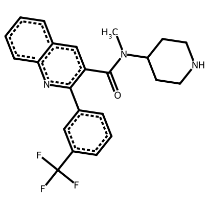 CN(C(=O)c1cc2ccccc2nc1-c1cccc(C(F)(F)F)c1)C1CCNCC1